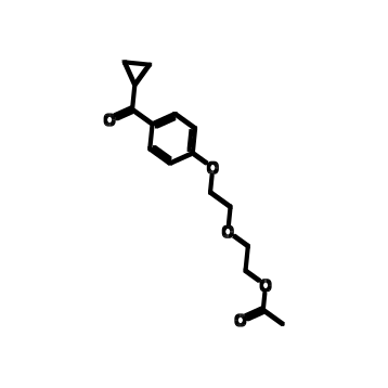 CC(=O)OCCOCCOc1ccc(C(=O)C2CC2)cc1